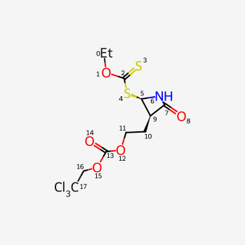 CCOC(=S)S[C@H]1NC(=O)[C@H]1CCOC(=O)OCC(Cl)(Cl)Cl